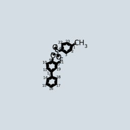 Cc1ccc(S(=O)(=O)Oc2ccc(-c3ccccc3)cc2F)cc1